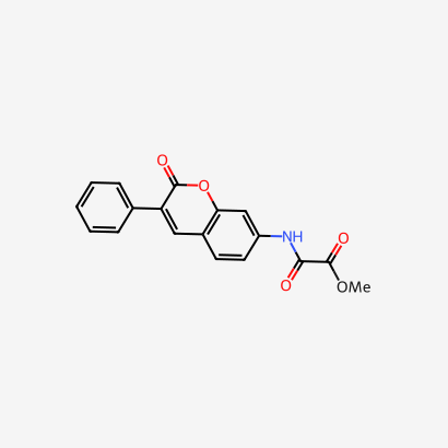 COC(=O)C(=O)Nc1ccc2cc(-c3ccccc3)c(=O)oc2c1